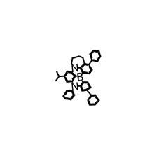 CC(C)c1cc2c3c(c1)N(c1ccccc1)c1cc(-c4ccccc4)ccc1B3c1ccc(-c3ccccc3)c3c1N2CCCC3